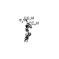 C[C@]1(c2ccc(Cl)cn2)Oc2cccc(C3CCN(Cc4nc5c(n4C[C@@H]4CCO4)C=C(C(=O)O)C(CSC[C@H](N)C(=O)O)C5)CC3)c2O1